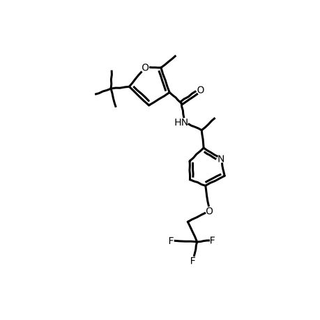 Cc1oc(C(C)(C)C)cc1C(=O)NC(C)c1ccc(OCC(F)(F)F)cn1